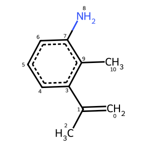 C=C(C)c1cccc(N)c1C